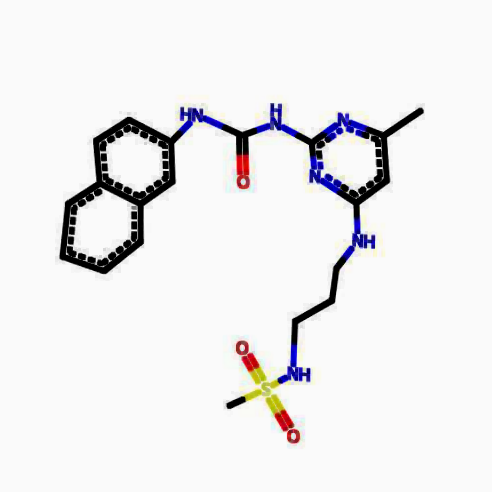 Cc1cc(NCCCNS(C)(=O)=O)nc(NC(=O)Nc2ccc3ccccc3c2)n1